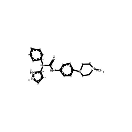 CN1CCN(c2ccc(NC(=O)N(c3ccccc3)c3ccn[nH]3)cc2)CC1